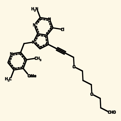 COc1c(C)cnc(Cn2cc(C#CCOCCCOCCC=O)c3c(Cl)nc(N)nc32)c1C